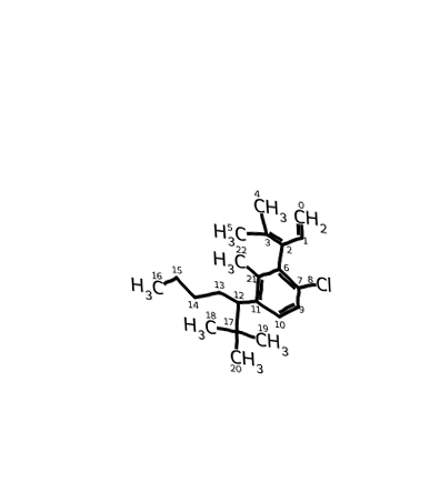 C=CC(=C(C)C)c1c(Cl)ccc(C(CCCC)C(C)(C)C)c1C